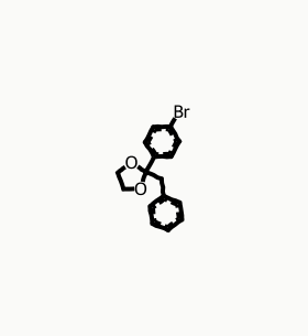 Brc1ccc(C2(Cc3ccccc3)OCCO2)cc1